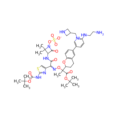 CC(C)(C)OC(=O)Nc1nc(/C(=N/OC(C)(C(=O)OC(C)(C)C)C2CCc3cc(-c4ccc(NCCN)[n+](CC5CNC5)c4)ccc3O2)C(=O)NC2C(=O)N(OS(=O)(=O)[O-])C2(C)C)cs1